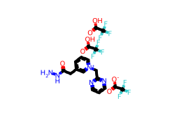 NNC(=O)Cc1ccc[n+](Cc2ncccn2)c1.O=C(O)C(F)(F)F.O=C(O)C(F)(F)F.O=C([O-])C(F)(F)F